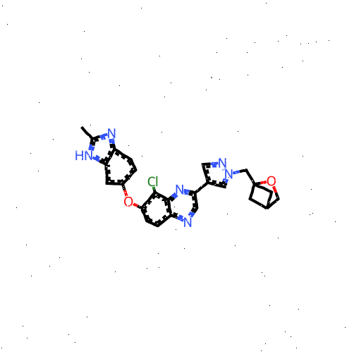 Cc1nc2ccc(Oc3ccc4ncc(-c5cnn(CC67CC(CO6)C7)c5)nc4c3Cl)cc2[nH]1